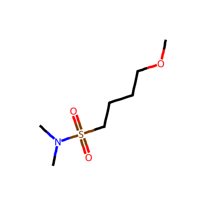 COCCCCS(=O)(=O)N(C)C